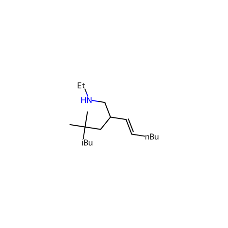 CCCC/C=C/C(CNCC)CC(C)(C)C(C)CC